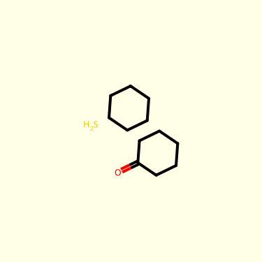 C1CCCCC1.O=C1CCCCC1.S